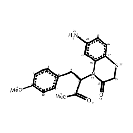 COC(=O)C(Cc1ccc(OC)cc1)N1C(=O)CSc2ccc(N)cc21